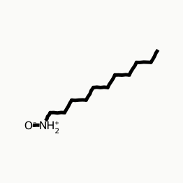 CCCCCCCCCCC[NH2+][O-]